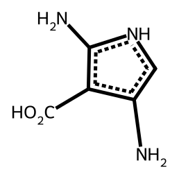 Nc1c[nH]c(N)c1C(=O)O